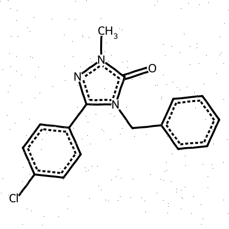 Cn1nc(-c2ccc(Cl)cc2)n(Cc2ccccc2)c1=O